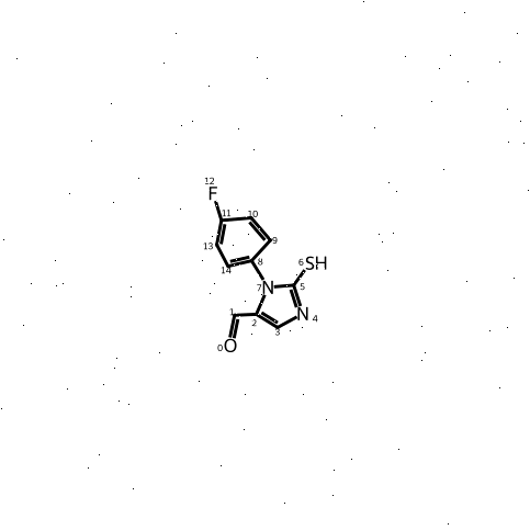 O=Cc1cnc(S)n1-c1ccc(F)cc1